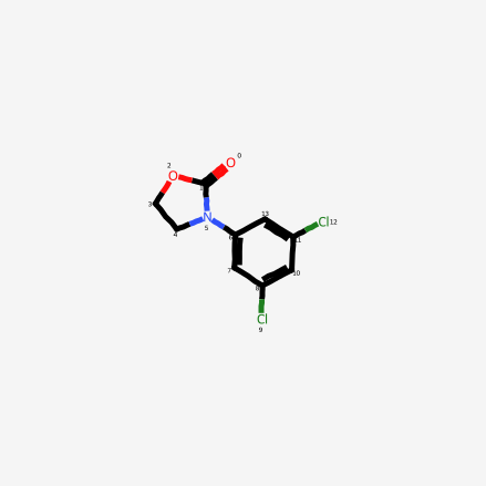 O=C1OCCN1c1cc(Cl)cc(Cl)c1